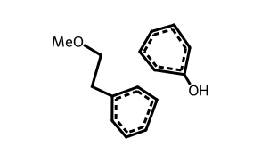 COCCc1ccccc1.Oc1ccccc1